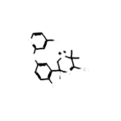 CC1(C)C(N)=N[C@](C)(c2cc(Oc3cc(Br)ccn3)ccc2F)CS1(=O)=O